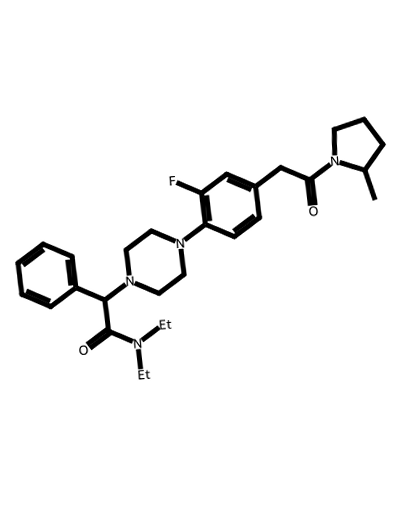 CCN(CC)C(=O)C(c1ccccc1)N1CCN(c2ccc(CC(=O)N3CCCC3C)cc2F)CC1